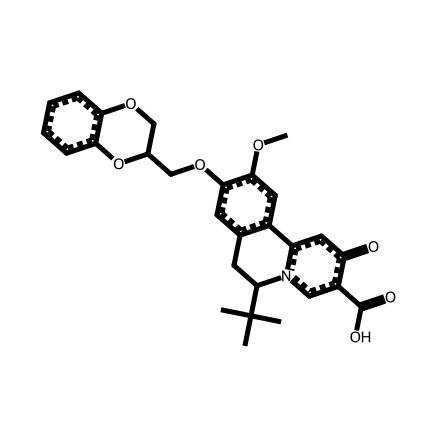 COc1cc2c(cc1OCC1COc3ccccc3O1)CC(C(C)(C)C)n1cc(C(=O)O)c(=O)cc1-2